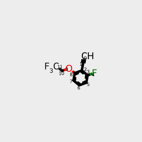 C#Cc1c(F)cccc1OCC(F)(F)F